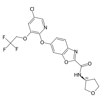 O=C(N[C@H]1CCOC1)c1nc2ccc(Oc3ncc(Cl)cc3OCC(F)(F)F)cc2o1